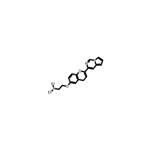 CCN(CC)CCOc1ccc2c(c1)CC=C(c1cc3cccn3cn1)O2